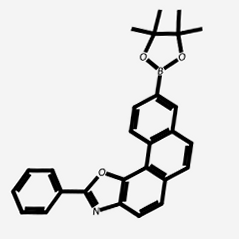 CC1(C)OB(c2ccc3c(ccc4ccc5nc(-c6ccccc6)oc5c43)c2)OC1(C)C